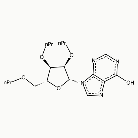 CCCOC[C@H]1O[C@@H](n2cnc3c(O)ncnc32)[C@H](OCCC)[C@@H]1OCCC